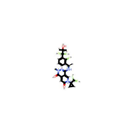 C[C@@H](Nc1nn(C)c(=O)c2cc(=O)n(C3(C(F)F)CC3)cc12)c1cccc(C(F)(F)C(C)(C)O)c1F